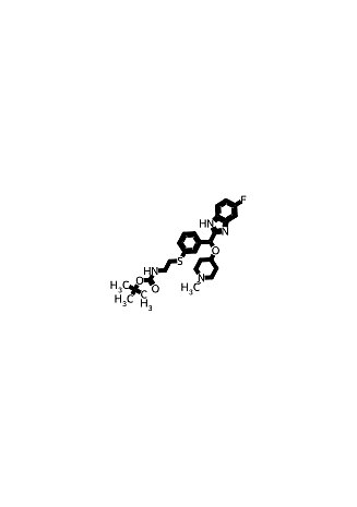 CN1CCC(OC(c2cccc(SCCNC(=O)OC(C)(C)C)c2)c2nc3cc(F)ccc3[nH]2)CC1